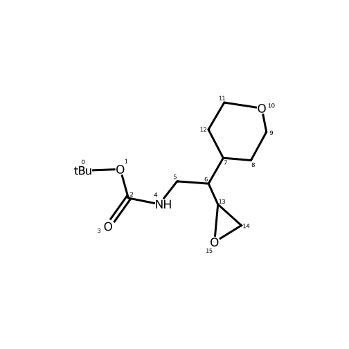 CC(C)(C)OC(=O)NCC(C1CCOCC1)C1CO1